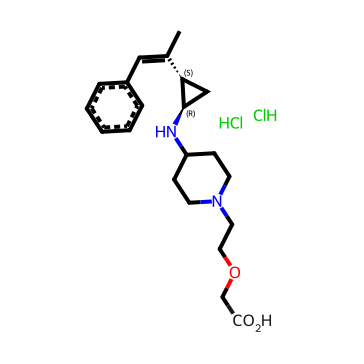 CC(=Cc1ccccc1)[C@@H]1C[C@H]1NC1CCN(CCOCC(=O)O)CC1.Cl.Cl